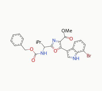 COC(=O)c1nc(C(NC(=O)OCc2ccccc2)C(C)C)oc1-c1c[nH]c2c(Br)cccc12